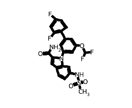 CS(=O)(=O)Nc1ccc2cc(C(N)=O)n(-c3cc(OC(F)F)cc(-c4ccc(F)cc4F)c3)c2c1